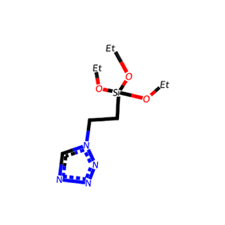 CCO[Si](CCn1cnnn1)(OCC)OCC